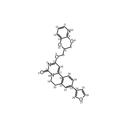 O=c1nc(OCC2COc3ncccc3O2)cc2n1CCc1cc(-c3ccoc3)ccc1-2